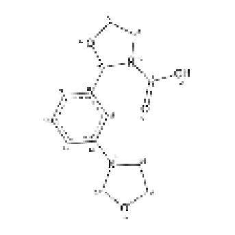 O=C(O)N1CCOC1c1cccc(N2CCOC2)c1